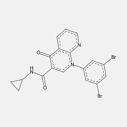 O=C(NC1CC1)c1cn(-c2cc(Br)cc(Br)c2)c2ncccc2c1=O